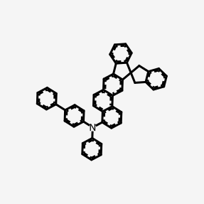 c1ccc(-c2ccc(N(c3ccccc3)c3cccc4c3ccc3cc5c(cc34)C3(Cc4ccccc4C3)c3ccccc3-5)cc2)cc1